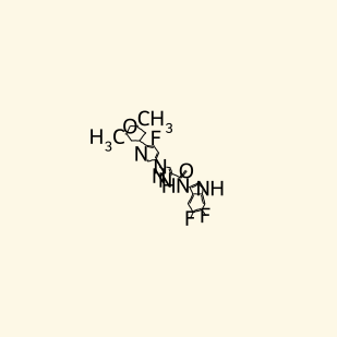 CC1CC(c2ncc(-n3cc(C(=O)Nc4c[nH]c5cc(F)c(F)cc45)nn3)cc2F)CC(C)O1